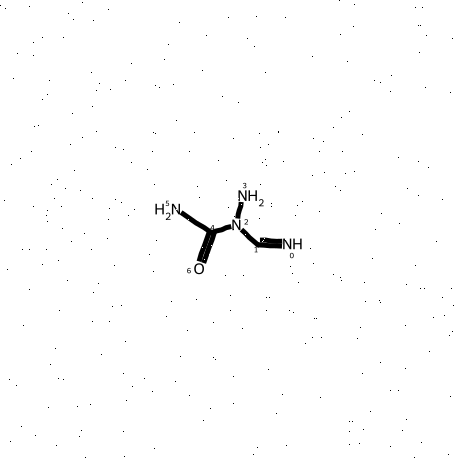 N=CN(N)C(N)=O